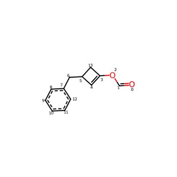 O=COC1=CC(Cc2ccccc2)C1